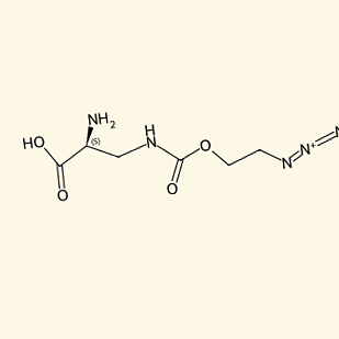 [N-]=[N+]=NCCOC(=O)NC[C@H](N)C(=O)O